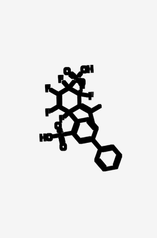 CC(C)=C1C(F)(c2ccc(-c3ccccc3)cc2S(=O)(=O)O)C(F)=C(F)C(F)(S(=O)(=O)O)C1(F)F